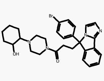 O=C(CCC1(c2ccc(Br)cc2)c2ccccc2-c2nccn21)N1CCN(C2CCCCC2O)CC1